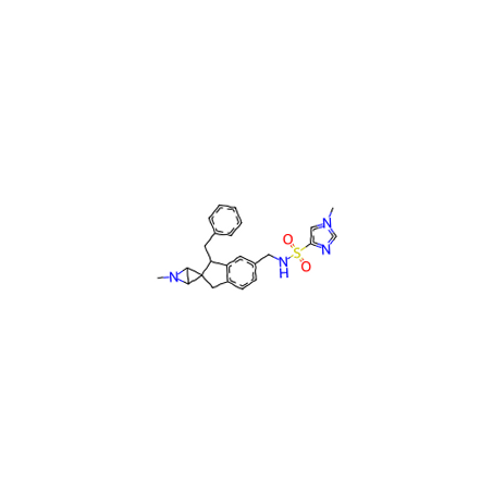 CN1C2C1C21Cc2ccc(CNS(=O)(=O)c3cn(C)cn3)cc2C1Cc1ccccc1